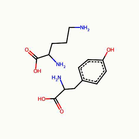 NC(Cc1ccc(O)cc1)C(=O)O.NCCCC(N)C(=O)O